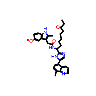 CCC(=O)CCCCCC(NC(=O)Cc1c(C)[nH]c2ccc(OC)cc12)c1ncc(-c2ccc(C)c3ncccc23)[nH]1